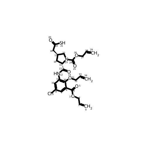 C=CCOC(=O)c1cc(Cl)cc(NC(=O)[C@@H]2C[C@@H](CC(=O)S)CN2C(=O)OCC=C)c1OCC=C